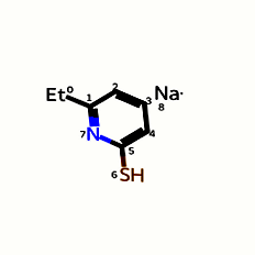 CCc1cccc(S)n1.[Na]